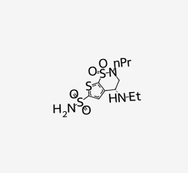 CCCN1C[C@H](NCC)c2cc(S(N)(=O)=O)sc2S1(=O)=O